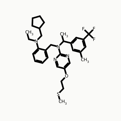 CCN(CC1CCCC1)c1ccccc1CN(c1ncc(OCCSC)cn1)C(C)c1cc(C)cc(C(F)(F)F)c1